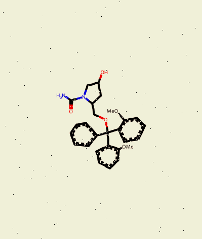 COc1ccccc1C(OCC1CC(O)CN1C(N)=O)(c1ccccc1)c1ccccc1OC